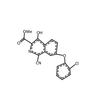 COC(=O)c1nc(C#N)c2cc(Oc3ccccc3Cl)ccc2c1O